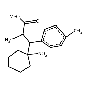 COC(=O)C(C)C(c1ccc(C)cc1)C1([N+](=O)[O-])CCCCC1